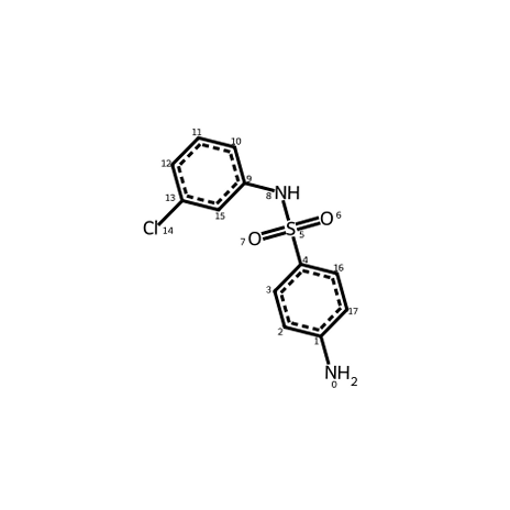 Nc1ccc(S(=O)(=O)Nc2cccc(Cl)c2)cc1